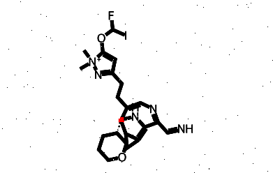 C[N+]1(C)N=C(CC/C2=C/N=C(C=N)\C(NC[C@H]3CCCOC3)=C3/CC3C2)C=C1OC(F)I